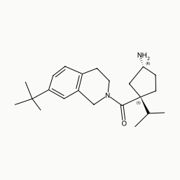 CC(C)[C@]1(C(=O)N2CCc3ccc(C(C)(C)C)cc3C2)CC[C@@H](N)C1